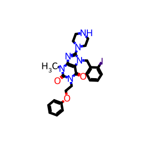 Cn1c(=O)n(CCOc2ccccc2)c(=O)c2c1nc(N1CCNCC1)n2Cc1ccccc1I